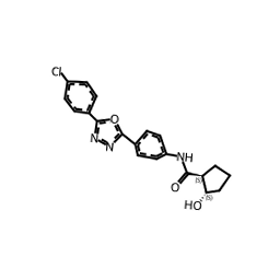 O=C(Nc1ccc(-c2nnc(-c3ccc(Cl)cc3)o2)cc1)[C@H]1CCC[C@@H]1O